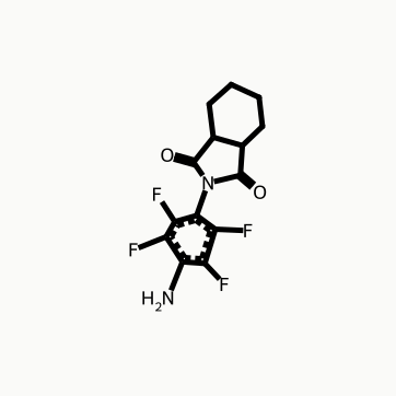 Nc1c(F)c(F)c(N2C(=O)C3CCCCC3C2=O)c(F)c1F